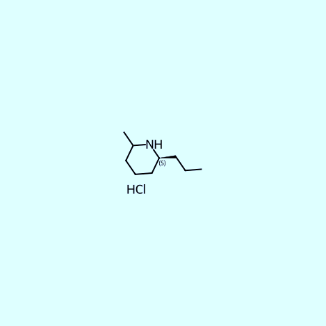 CCC[C@H]1CCCC(C)N1.Cl